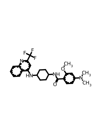 COc1cc(N(C)C)ccc1C(=O)NC1CCC(Nc2cc(C(F)(F)F)nc3ccccc23)CC1